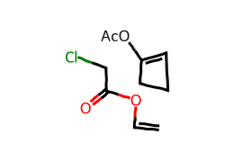 C=COC(=O)CCl.CC(=O)OC1=CCC1